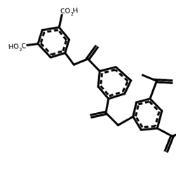 C=C(C)c1cc(CC(=C)c2cccc(C(=C)Cc3cc(C(=O)O)cc(C(=O)O)c3)c2)cc(C(=C)C)c1